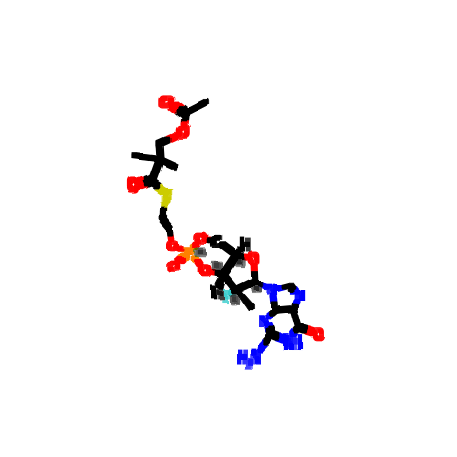 CC(=O)OCC(C)(C)C(=O)SCCO[P@@]1(=O)OC[C@H]2O[C@@H](n3cnc4c(=O)[nH]c(N)nc43)[C@](C)(F)[C@@H]2O1